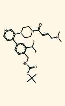 CN(C)C/C=C/C(=O)N1CCN(c2cnccc2-c2ccc(CNC(=O)OC(C)(C)C)c(C(F)F)c2)CC1